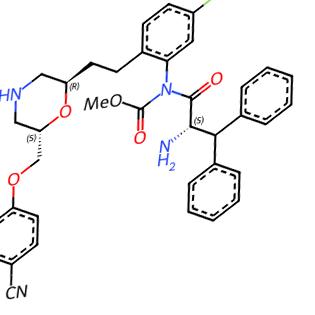 COC(=O)N(C(=O)[C@@H](N)C(c1ccccc1)c1ccccc1)c1cc(F)ccc1CC[C@@H]1CNC[C@@H](COc2ccc(C#N)cc2)O1